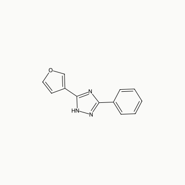 c1ccc(-c2n[nH]c(-c3ccoc3)n2)cc1